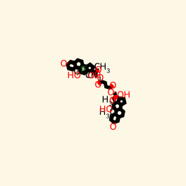 C[C@@H]1CC2C3CCC4=CC(=O)C=C[C@]4(C)[C@@]3(F)[C@@H](O)C[C@]2(C)[C@@]1(O)C(=O)COC(=O)CCC(=O)OCC(=O)[C@@]1(O)CCC2C3CCC4=CC(=O)C=C[C@]4(C)C3[C@@H](O)C[C@@]21C